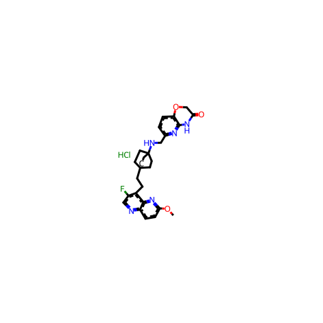 COc1ccc2ncc(F)c(CCC34CCC(NCc5ccc6c(n5)NC(=O)CO6)(CC3)CC4)c2n1.Cl